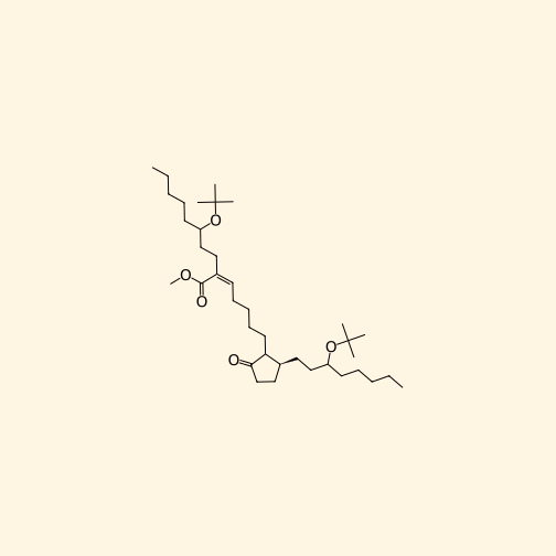 CCCCCC(CCC(=CCCCCC1C(=O)CC[C@@H]1CCC(CCCCC)OC(C)(C)C)C(=O)OC)OC(C)(C)C